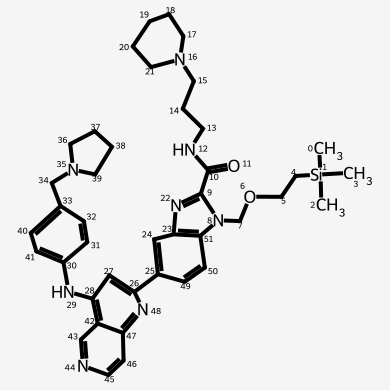 C[Si](C)(C)CCOCn1c(C(=O)NCCCN2CCCCC2)nc2cc(-c3cc(Nc4ccc(CN5CCCC5)cc4)c4cnccc4n3)ccc21